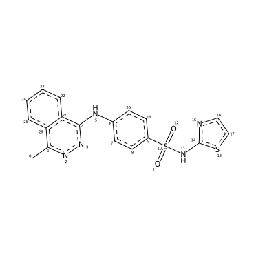 Cc1nnc(Nc2ccc(S(=O)(=O)Nc3nccs3)cc2)c2ccccc12